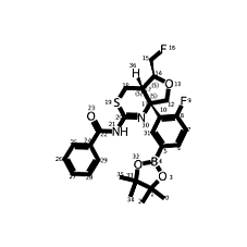 CC1(C)OB(c2ccc(F)c([C@]34CO[C@H](CF)[C@H]3CSC(NC(=O)c3ccccc3)=N4)c2)OC1(C)C